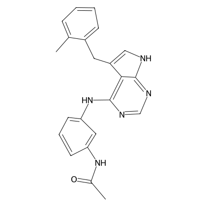 CC(=O)Nc1cccc(Nc2ncnc3[nH]cc(Cc4ccccc4C)c23)c1